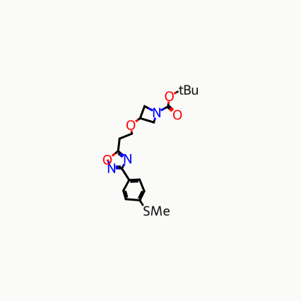 CSc1ccc(-c2noc(CCOC3CN(C(=O)OC(C)(C)C)C3)n2)cc1